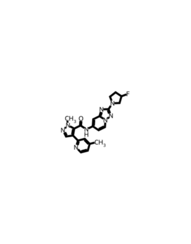 Cc1ccnc(-c2cnn(C)c2C(=O)Nc2ccn3nc(N4CCC(F)C4)nc3c2)c1